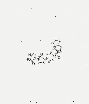 CC(C(=O)O)N1CCC(N2CCC(C(=O)c3ccc4c(c3)CCO4)CC2)C1=O